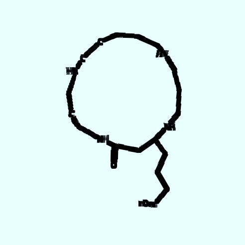 CCCCCCCCCCCCCC1CC(=O)NCCCNCCCCCNCCCN1